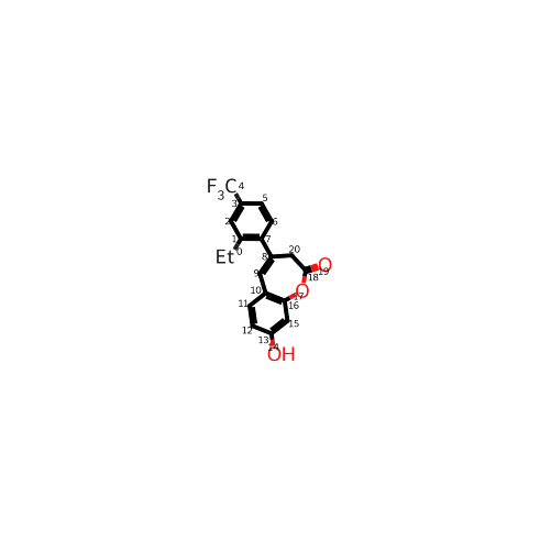 CCc1cc(C(F)(F)F)ccc1C1=Cc2ccc(O)cc2OC(=O)C1